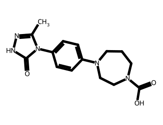 Cc1n[nH]c(=O)n1-c1ccc(N2CCCN(C(=O)O)CC2)cc1